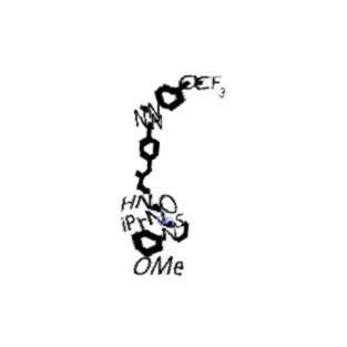 COc1ccc(C(C)C)c(N2CCCS/C2=N\C(=O)NCCC(C)Cc2ccc(-c3ncn(-c4ccc(OC(F)(F)F)cc4)n3)cc2)c1